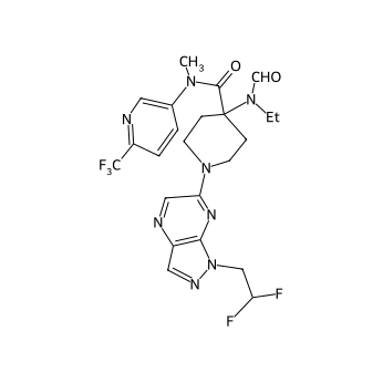 CCN(C=O)C1(C(=O)N(C)c2ccc(C(F)(F)F)nc2)CCN(c2cnc3cnn(CC(F)F)c3n2)CC1